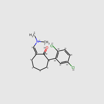 CN(C)C=C1CCCCC(c2cc(Cl)ccc2Cl)C1=O